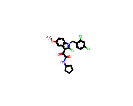 COc1ccc2c(c1)c(C(=O)C(=O)NC1CCCC1)c(Cl)n2Cc1ccc(Cl)cc1Cl